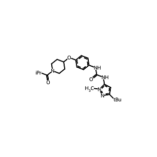 CC(C)C(=O)N1CCC(Oc2ccc(NC(=O)Nc3cc(C(C)(C)C)nn3C)cc2)CC1